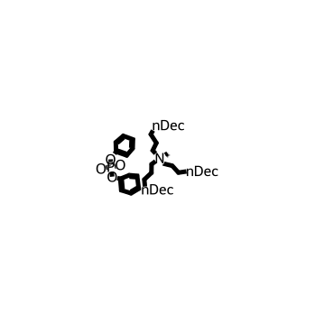 CCCCCCCCCCCCC[N+](C)(CCCCCCCCCCCCC)CCCCCCCCCCCCC.O=P([O-])(Oc1ccccc1)Oc1ccccc1